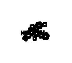 O=C(N[C@@H](Cc1ccccc1)C(=O)N[C@@H](CC1CCC1)B(O)O)c1cc(Cl)ccc1Cl